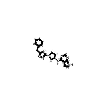 c1ccc(Cc2nc(N3CC[C@@H](Nc4ncnc5[nH]ncc45)C3)no2)cc1